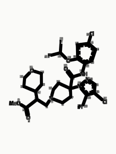 COC(=O)C(CN1CCC(C(=O)Nc2ccc(Cl)cc2OC(F)F)(n2ncc(Cl)c2C(C)C)CC1)C1CCOCC1